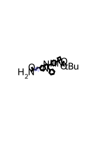 CC(C)(C)OC(=O)NC1(c2ccc(-c3nc4cc(/C=C/C(N)=O)ccn4c3-c3ccccc3)cc2)CCC1